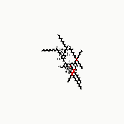 CCCCCCCCCCCCCC(C)C(=O)OC(CC(=O)NC1C(O)OC(COC2OC(CO)C(O[P+]([O-])(O)O)[C@H](OC(=O)CC(OC(=O)C(C)CCCCCCCCCCC)C(C)CCCCCCCCC)C2NC(=O)CC(OC(=O)C(C)CCCCCCCCC)C(C)CCCCCCCCC)C(O)[C@@H]1OC(=O)CC(O)C(C)CCCCCCCCC)C(C)CCCCCCCCC